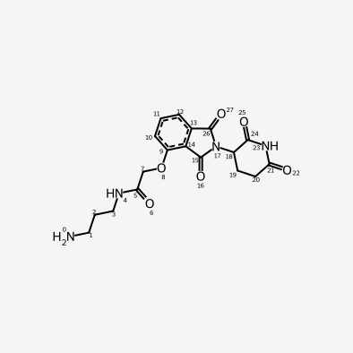 NCCCNC(=O)COc1cccc2c1C(=O)N(C1CCC(=O)NC1=O)C2=O